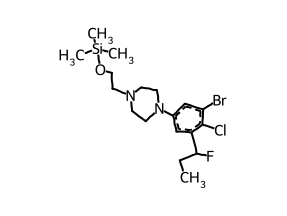 CCC(F)c1cc(N2CCN(CCO[Si](C)(C)C)CC2)cc(Br)c1Cl